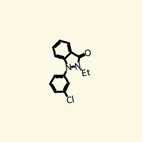 CCn1c(=O)c2ccccc2n1-c1cccc(Cl)c1